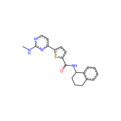 CNc1nccc(-c2ccc(C(=O)NC3CCCc4ccccc43)s2)n1